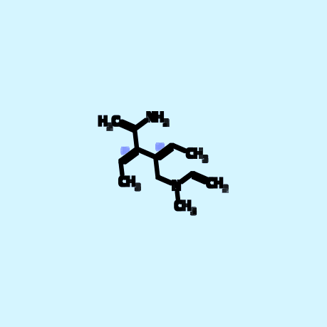 C=CN(C)CC(=C\C)/C(=C\C)C(=C)N